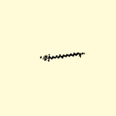 CS(=O)(=O)NC(=O)CCCCCCCCCCCCCCCCC(=O)O